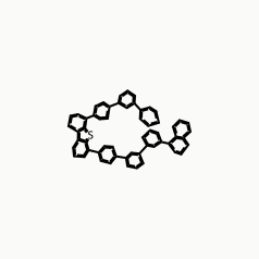 c1ccc(-c2cccc(-c3ccc(-c4cccc5c4sc4c(-c6ccc(-c7cccc(-c8cccc(-c9cccc%10ccccc9%10)c8)c7)cc6)cccc45)cc3)c2)cc1